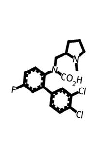 CN1CCCC1CN(C(=O)O)c1ccc(F)cc1-c1ccc(Cl)c(Cl)c1